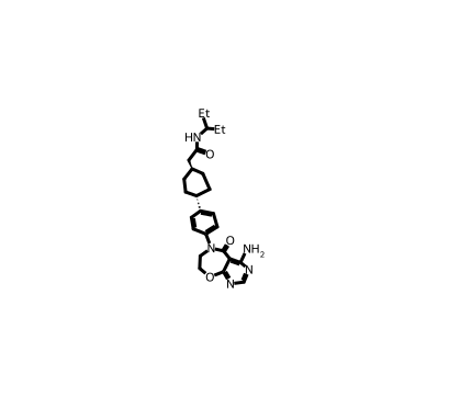 CCC(CC)NC(=O)C[C@H]1CC[C@H](c2ccc(N3CCOc4ncnc(N)c4C3=O)cc2)CC1